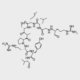 CSCC[C@H](NC(=O)[C@H](CC(C)C)NC(=O)CNN[C@H](C=O)CCCNC(=N)N)C(=O)N[C@@H](CS)C(=O)C(C)C(=O)[C@@H]1CCCN1N[C@@H](CCCNC(=N)N)C(=O)N[C@@H](Cc1ccc(O)cc1)C(=O)N[C@H](C=O)C(C)C